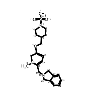 CN1CC(OCC2CCN(S(C)(=O)=O)CC2)=CC=C1CN1Cc2ccccc2C1